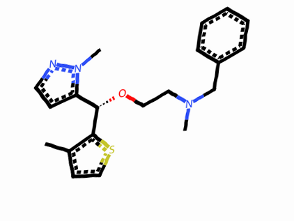 Cc1ccsc1[C@@H](OCCN(C)Cc1ccccc1)c1ccnn1C